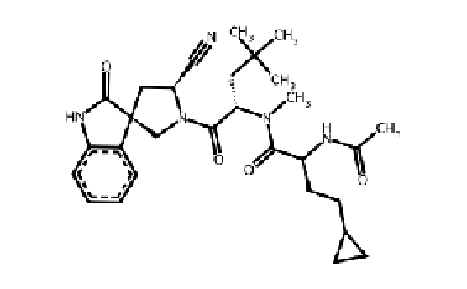 CC(=O)N[C@@H](CCC1CC1)C(=O)N(C)[C@@H](CC(C)(C)C)C(=O)N1C[C@]2(C[C@H]1C#N)C(=O)Nc1ccccc12